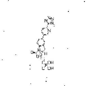 Cn1nnnc1-c1ccc(-c2ccc3c(c2)C[C@H]2[C@H](COP(=O)(O)O)OC(=O)N32)cn1